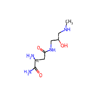 CNCC(O)CNC(=O)C[C@H](N)C(N)=O